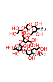 CCC(C)C1C(O)C(CO)OC(O[C@@H](C)C(CO)OC(OCC2OC(C(O)O)CC2OC2OC(CO)C(O)C(OC3(C(=O)O)C[C@@H](O)C(NC(C)=O)C([C@H](O)[C@H](O)CO)O3)C2O)[C@@H](O)CO)C1O